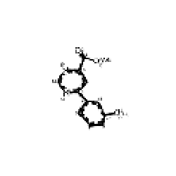 COC(=O)c1cc(-c2cccc(C)c2)ncn1